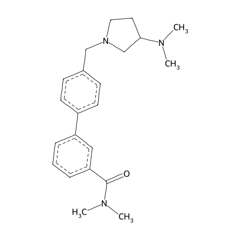 CN(C)C(=O)c1cccc(-c2ccc(CN3CCC(N(C)C)C3)cc2)c1